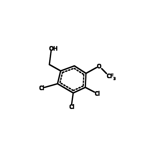 OCc1cc(OC(F)(F)F)c(Cl)c(Cl)c1Cl